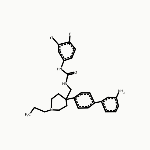 Nc1cccc(-c2ccc(C3(CNC(=O)Nc4ccc(F)c(Cl)c4)CCN(CCC(F)(F)F)CC3)cc2)c1